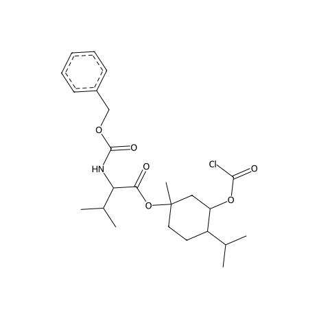 CC(C)C(NC(=O)OCc1ccccc1)C(=O)OC1(C)CCC(C(C)C)C(OC(=O)Cl)C1